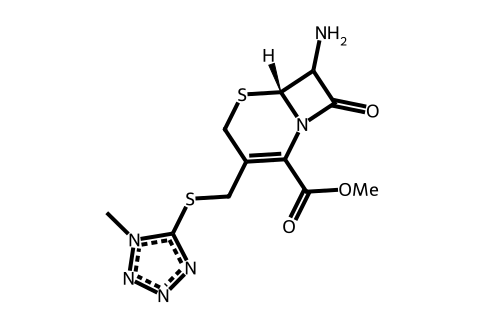 COC(=O)C1=C(CSc2nnnn2C)CS[C@@H]2C(N)C(=O)N12